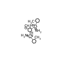 COc1cc(C2NC(c3ccccc3C)=CN2N)cc(C2NC(c3ccccc3C)=CN2N)c1